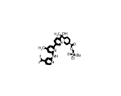 CCCC[N+](CC)(CC)COC(=O)[C@H]1CC[C@H]([C@@](C)(O)c2ccc(-c3cc(C)cc(Nc4cc(C(F)F)ccn4)n3)cn2)CC1